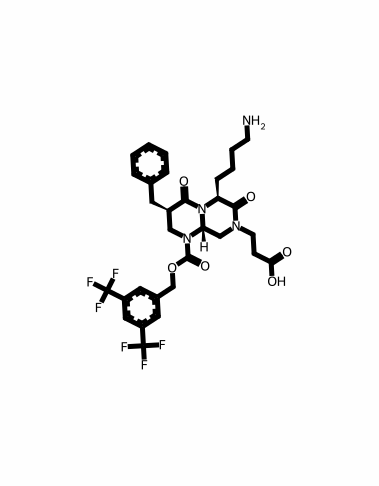 NCCCC[C@H]1C(=O)N(CCC(=O)O)C[C@@H]2N(C(=O)OCc3cc(C(F)(F)F)cc(C(F)(F)F)c3)C[C@@H](Cc3ccccc3)C(=O)N21